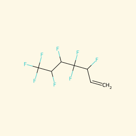 C=CC(F)C(F)(F)C(F)C(F)C(F)(F)F